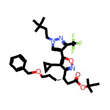 CC(C)(C)CCn1cc(-c2onc([C@@H](CCCOCc3ccccc3)CC(=O)OC(C)(C)C)c2C2CC2)c(C(F)(F)F)n1